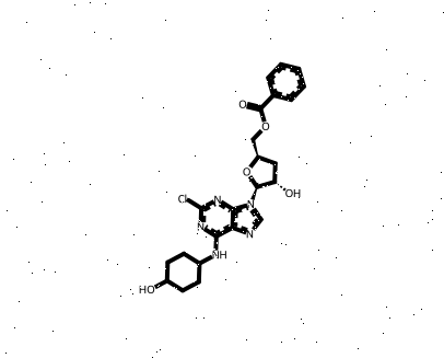 O=C(OC[C@H]1C[C@H](O)[C@@H](n2cnc3c(NC4CCC(O)CC4)nc(Cl)nc32)O1)c1ccccc1